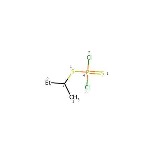 CCC(C)SP(=S)(Cl)Cl